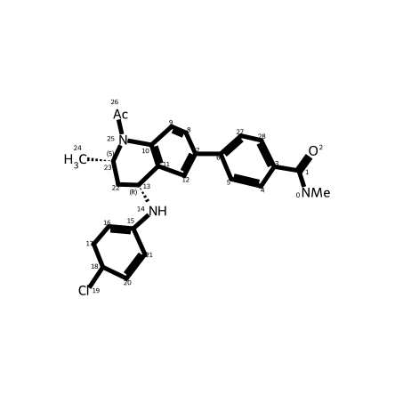 CNC(=O)c1ccc(-c2ccc3c(c2)[C@H](NC2=CCC(Cl)C=C2)C[C@H](C)N3C(C)=O)cc1